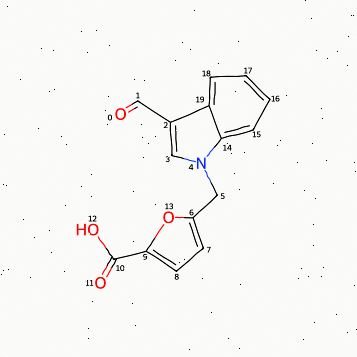 O=Cc1cn(Cc2ccc(C(=O)O)o2)c2ccccc12